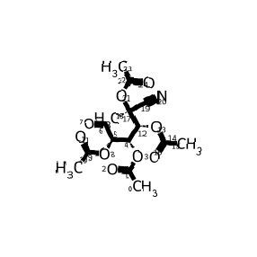 CC(=O)O[C@H]([C@H](C=O)OC(C)=O)[C@@H](OC(C)=O)[C@](C)(C#N)OC(C)=O